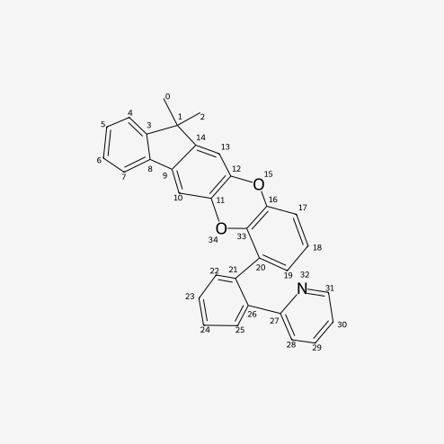 CC1(C)c2ccccc2-c2cc3c(cc21)Oc1cccc(-c2ccccc2-c2ccccn2)c1O3